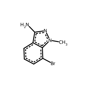 Cn1nc(N)c2cccc(Br)c21